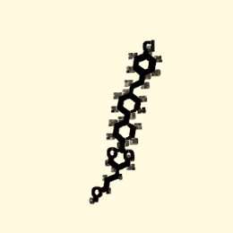 COCCC[C@H]1CO[C@H]([C@H]2CC[C@H]([C@H]3CC[C@H](CCc4ccc(Cl)cc4)CC3)CC2)OC1